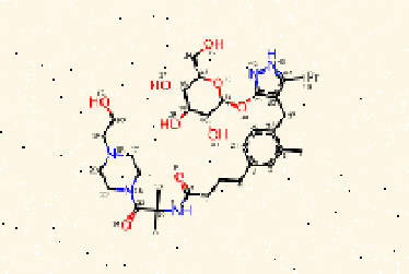 Cc1cc(CCCC(=O)NC(C)(C)C(=O)N2CCN(CCO)CC2)ccc1Cc1c(O[C@@H]2O[C@H](CO)[C@@H](O)[C@H](O)[C@H]2O)n[nH]c1C(C)C